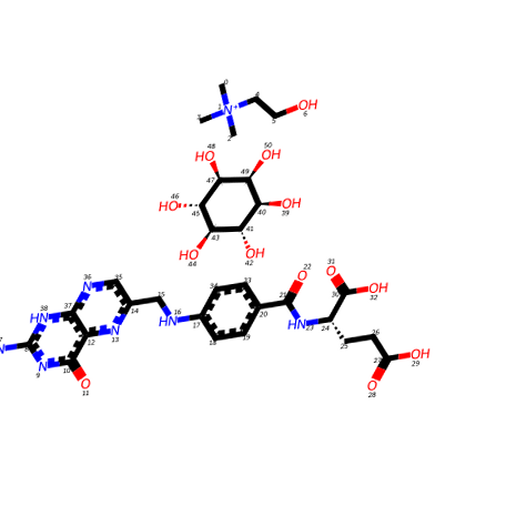 C[N+](C)(C)CCO.Nc1nc(=O)c2nc(CNc3ccc(C(=O)N[C@@H](CCC(=O)O)C(=O)O)cc3)cnc2[nH]1.O[C@H]1[C@H](O)[C@@H](O)[C@H](O)[C@@H](O)[C@H]1O